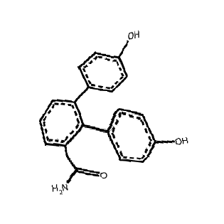 NC(=O)c1cccc(-c2ccc(O)cc2)c1-c1ccc(O)cc1